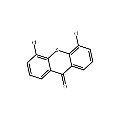 O=c1c2cccc(Cl)c2sc2c(Cl)cccc12